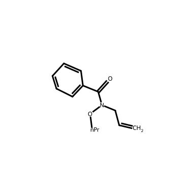 C=CCN(OCCC)C(=O)c1ccccc1